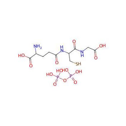 NC(CCC(=O)NC(CS)C(=O)NCC(=O)O)C(=O)O.O=P(O)(O)OP(=O)(O)O